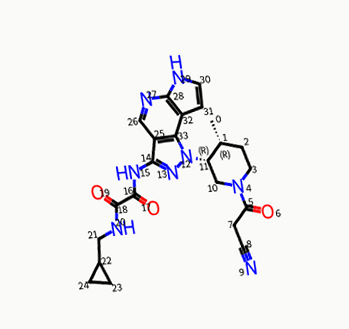 C[C@@H]1CCN(C(=O)CC#N)C[C@@H]1n1nc(NC(=O)C(=O)NCC2CC2)c2cnc3[nH]ccc3c21